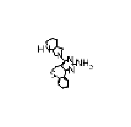 Nc1nc2c(c(N3CC4CCCNC4C3)n1)CCSc1ccccc1-2